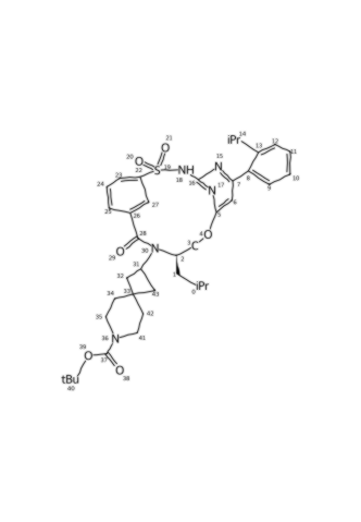 CC(C)C[C@@H]1COc2cc(-c3ccccc3C(C)C)nc(n2)NS(=O)(=O)c2cccc(c2)C(=O)N1C1CC2(CCN(C(=O)OC(C)(C)C)CC2)C1